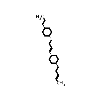 C/C=C/CC[C@H]1CC[C@H](/C=C/CC[C@H]2CC[C@H](CCC)CC2)CC1